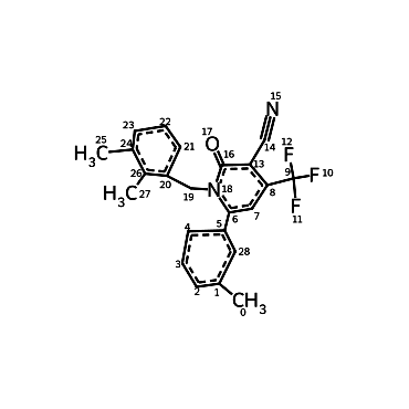 Cc1cccc(-c2cc(C(F)(F)F)c(C#N)c(=O)n2Cc2cccc(C)c2C)c1